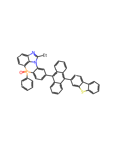 CCc1nc2cccc3c2n1-c1cc(-c2c4ccccc4c(-c4ccc5c(c4)sc4ccccc45)c4ccccc24)ccc1P3(=O)c1ccccc1